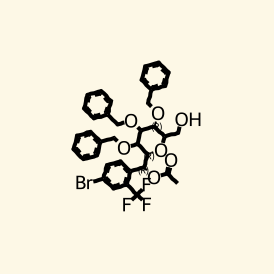 CC(=O)O[C@H](c1ccc(Br)cc1C(F)(F)F)[C@H]1OC(CO)[C@@H](OCc2ccccc2)C(OCc2ccccc2)C1OCc1ccccc1